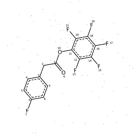 O=C(Cc1ccc(F)cc1)Oc1c(F)c(F)c(F)c(F)c1F